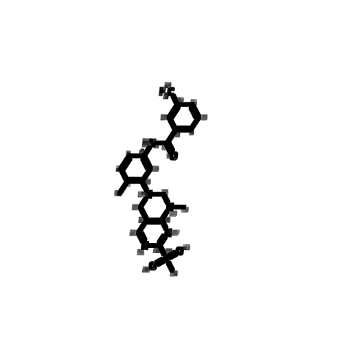 Cc1ccc(NC(=O)c2cccc(C(F)(F)F)c2)cc1N1Cc2cnc(S(C)(=O)=O)nc2N(C)C1